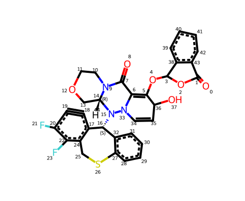 O=C1OC(OC2=C3C(=O)N4CCOC[C@H]4N([C@H]4c5c#cc(F)c(F)c5CSc5ccccc54)N3C=CC2O)c2ccccc21